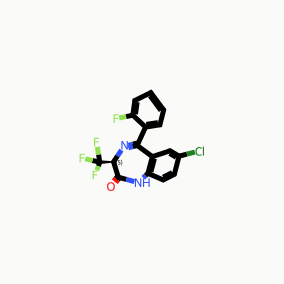 O=C1Nc2ccc(Cl)cc2C(c2ccccc2F)=N[C@@H]1C(F)(F)F